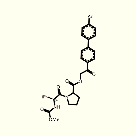 [CH2]C(=O)c1ccc(-c2ccc(C(=O)COC(=O)C3CCCN3C(=O)[C@@H](NC(=O)OC)C(C)C)cc2)cc1